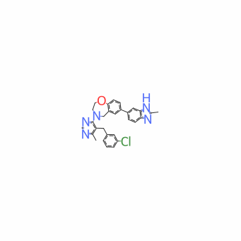 Cc1nc2ccc(-c3ccc4c(c3)CN(c3ncnc(C)c3Cc3cccc(Cl)c3)CCO4)cc2[nH]1